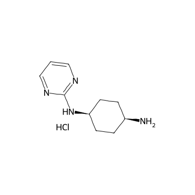 Cl.N[C@H]1CC[C@@H](Nc2ncccn2)CC1